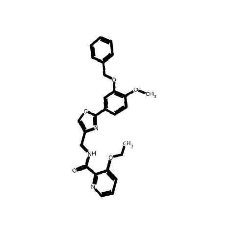 CCOc1cccnc1C(=O)NCc1coc(-c2ccc(OC)c(OCc3ccccc3)c2)n1